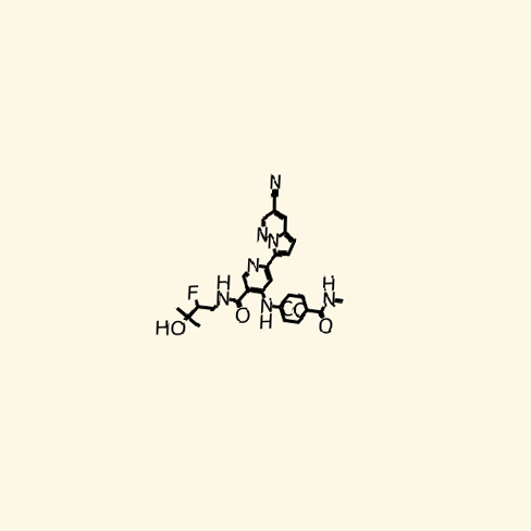 CNC(=O)C12CCC(Nc3cc(-c4ccc5cc(C#N)cnn45)ncc3C(=O)NCC(F)C(C)(C)O)(CC1)CC2